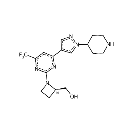 OC[C@H]1CCN1c1nc(-c2cnn(C3CCNCC3)c2)cc(C(F)(F)F)n1